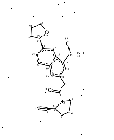 N#C[C@@H]1CSCN1C(=O)Cc1cc(C(N)=O)c2cc([C@H]3CCCO3)ccc2n1